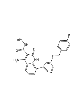 CCCNC(=O)c1c(N)c2cccc(-c3cccc(OCc4ccc(F)cn4)c3)c2[nH]c1=O